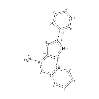 Nc1cc2ccccc2c2nc(-c3ccccc3)oc12